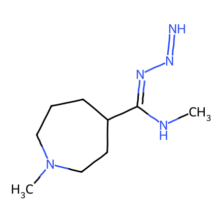 CN/C(=N\N=N)C1CCCN(C)CC1